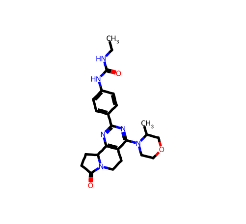 CCNC(=O)Nc1ccc(-c2nc3c(c(N4CCOCC4C)n2)CCN2C(=O)CCC32)cc1